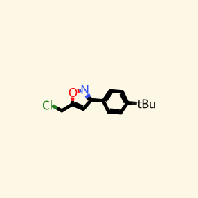 CC(C)(C)c1ccc(-c2cc(CCl)on2)cc1